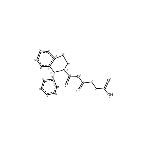 O=C(O)CCC(=O)OC(=O)N1CCc2ccccc2C1c1ccccc1